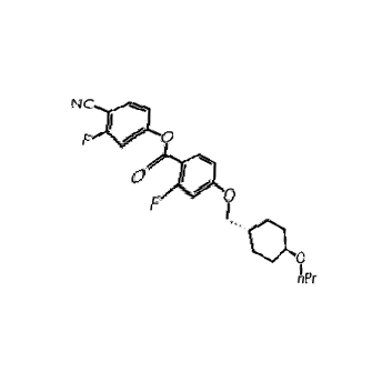 CCCO[C@H]1CC[C@H](COc2ccc(C(=O)Oc3ccc(C#N)c(F)c3)c(F)c2)CC1